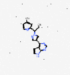 N#CCC(c1cc(C#N)ccn1)n1cc(-c2ncnc3[nH]ccc23)cn1